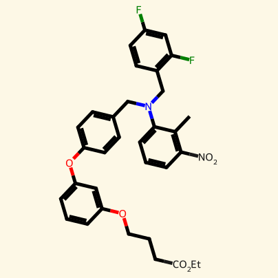 CCOC(=O)CCCOc1cccc(Oc2ccc(CN(Cc3ccc(F)cc3F)c3cccc([N+](=O)[O-])c3C)cc2)c1